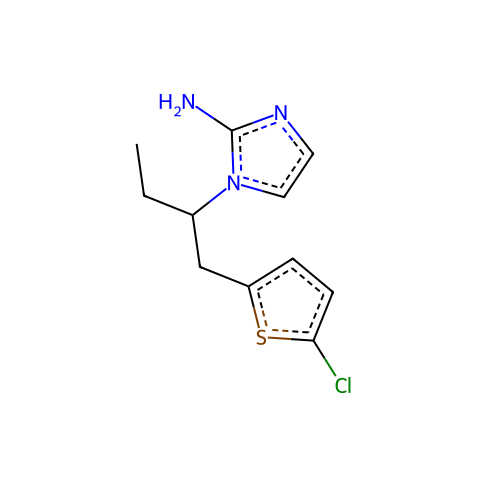 CCC(Cc1ccc(Cl)s1)n1ccnc1N